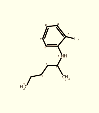 CCCCC(C)Nc1ccccc1I